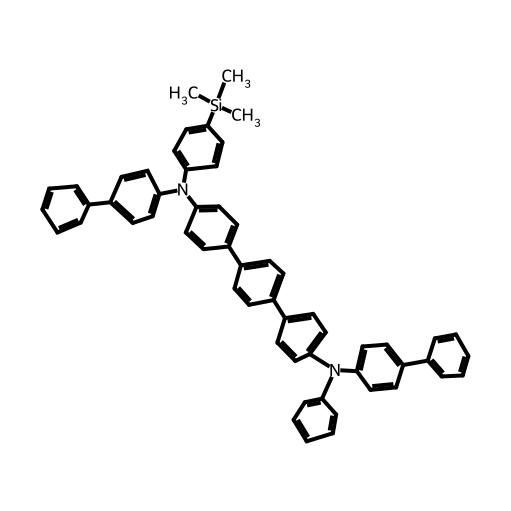 C[Si](C)(C)c1ccc(N(c2ccc(-c3ccccc3)cc2)c2ccc(-c3ccc(-c4ccc(N(c5ccccc5)c5ccc(-c6ccccc6)cc5)cc4)cc3)cc2)cc1